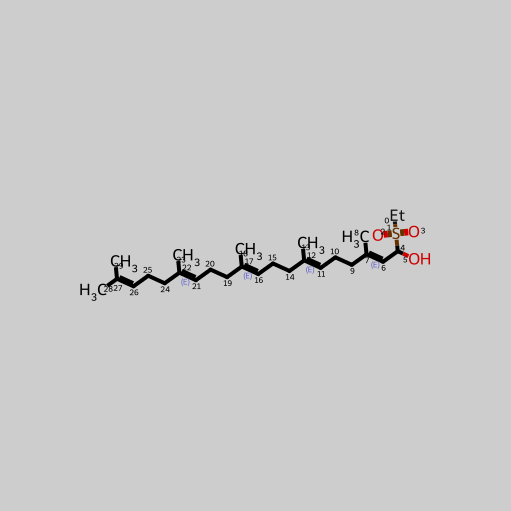 CCS(=O)(=O)C(O)/C=C(\C)CC/C=C(\C)CC/C=C(\C)CC/C=C(\C)CCC=C(C)C